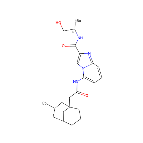 CCC1CC2CCCC(CC(=O)Nc3cccc4nc(C(=O)N[C@H](CO)C(C)(C)C)cn34)(C1)C2